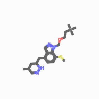 CSc1ccc(CC2CC(C)C=NN2)c2cnn(COCC[Si](C)(C)C)c12